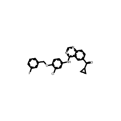 O=C(c1ccc2ncnc(Nc3ccc(OCc4cccc(F)c4)c(Cl)c3)c2c1)C1CC1